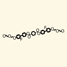 COCCOCCOc1ccc(-c2ccc(OC(=O)[C@H]3CC[C@H](C(=O)Oc4ccc(-c5ccc(OCCOCCOC)cc5F)cc4)CC3)cc2)c(F)c1